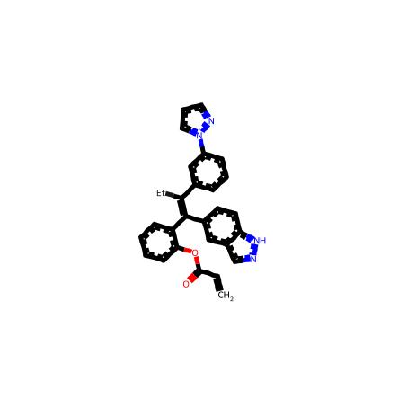 C=CC(=O)Oc1ccccc1/C(=C(\CC)c1cccc(-n2cccn2)c1)c1ccc2[nH]ncc2c1